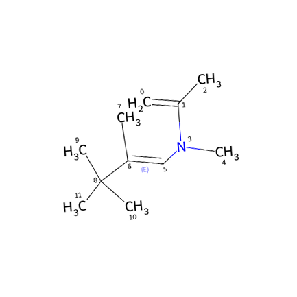 C=C(C)N(C)/C=C(\C)C(C)(C)C